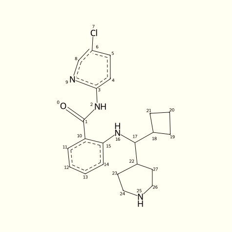 O=C(Nc1ccc(Cl)cn1)c1ccccc1NC(C1CCC1)C1CCNCC1